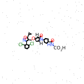 O=C(O)CNC(=O)c1ccc(N2C(=O)[C@@H]3C[C@H]2C[C@H]3OCc2c(-c3c(Cl)cccc3Cl)noc2C2CC2)cc1